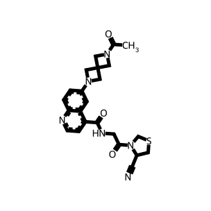 CC(=O)N1CC2(C1)CN(c1ccc3nccc(C(=O)NCC(=O)N4CSCC4C#N)c3c1)C2